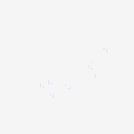 CCN(c1cc(C)cc(Nc2ncn(-c3cc(F)cc(F)c3)n2)c1)[C@H]1CCN(C2CC2)C1